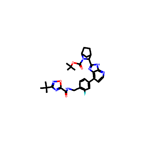 CC(C)(C)OC(=O)N1C2CCC(C2)C1c1nc2c(-c3ccc(CNC(=O)c4nc(C(C)(C)C)no4)c(F)c3)ccnc2[nH]1